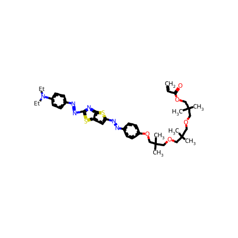 C=CC(=O)OCC(C)(C)COCC(C)(C)COCC(C)(C)COc1ccc(N=Nc2cc3sc(N=Nc4ccc(N(CC)CC)cc4)nc3s2)cc1